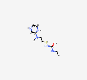 CCNC(=O)NSCCN(C)c1cnccn1